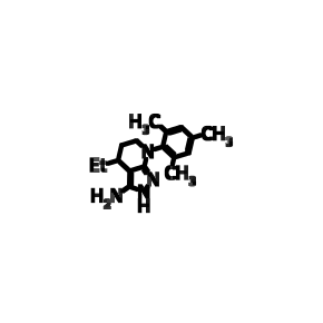 CCC1CCN(c2c(C)cc(C)cc2C)c2n[nH]c(N)c21